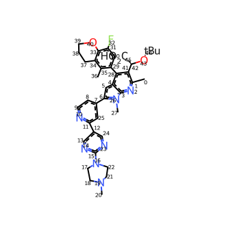 Cc1nc2c(cc(-c3ccnc(-c4cnc(N5CCN(C)CC5)nc4)c3)n2C)c(-c2cc(F)c3c(c2C)CCCO3)c1[C@H](OC(C)(C)C)C(=O)O